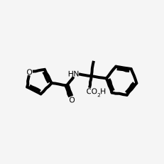 CC(NC(=O)c1ccoc1)(C(=O)O)c1ccccc1